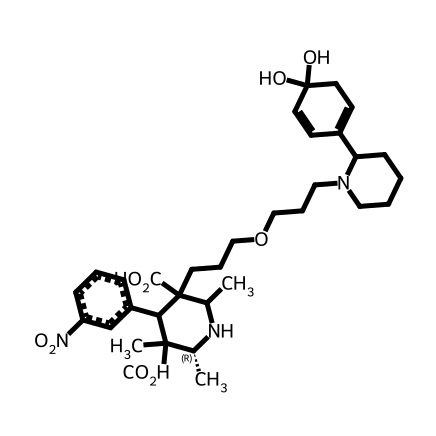 CC1N[C@H](C)C(C)(C(=O)O)C(c2cccc([N+](=O)[O-])c2)C1(CCCOCCCN1CCCCC1C1=CCC(O)(O)C=C1)C(=O)O